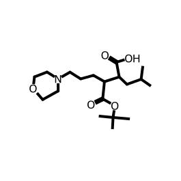 CC(C)CC(C(=O)O)C(CCCN1CCOCC1)C(=O)OC(C)(C)C